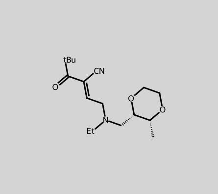 CCN(C/C=C(\C#N)C(=O)C(C)(C)C)C[C@@H]1OCCO[C@@H]1C